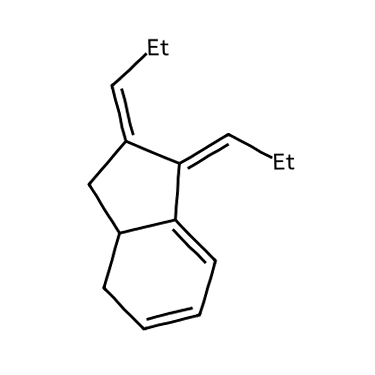 CCC=C1CC2CC=CC=C2C1=CCC